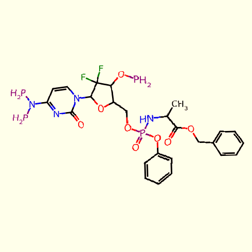 CC(NP(=O)(OCC1OC(n2ccc(N(P)P)nc2=O)C(F)(F)C1OP)Oc1ccccc1)C(=O)OCc1ccccc1